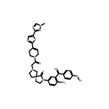 CC(C)Oc1ccc(C(=N)c2cc(N3CC[C@]4(CCN(CC(=O)N5CC=C(c6ncc(-c7ncn(C)n7)s6)CC5)C4)C3=O)ccc2N)cc1